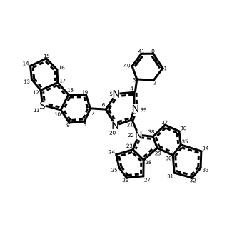 C1=CCC(c2nc(-c3ccc4sc5ccccc5c4c3)nc(-n3c4ccccc4c4c5ccccc5ccc43)n2)C=C1